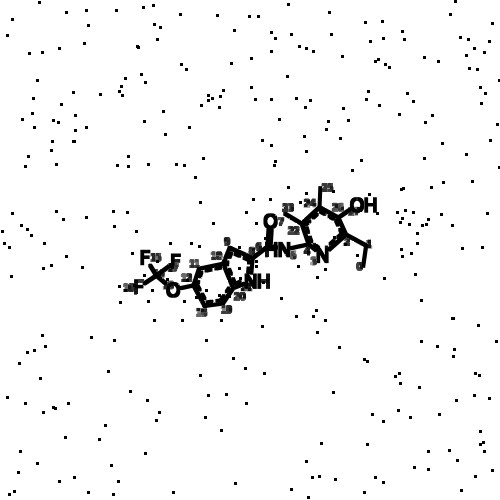 CCc1nc(NC(=O)c2cc3cc(OC(F)(F)F)ccc3[nH]2)c(C)c(C)c1O